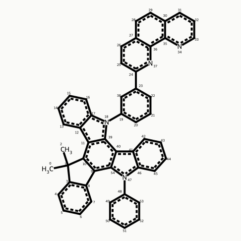 CC1(C)c2ccccc2-c2c1c1c3ccccc3n(-c3cccc(-c4ccc5ccc6cccnc6c5n4)c3)c1c1c3ccccc3n(-c3ccccc3)c21